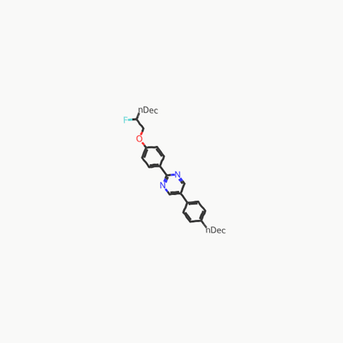 CCCCCCCCCCc1ccc(-c2cnc(-c3ccc(OCC(F)CCCCCCCCCC)cc3)nc2)cc1